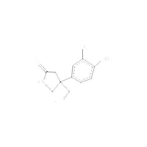 CCOC(=O)CC1(c2ccc(OC)c(Cl)c2)CNC(=O)C1